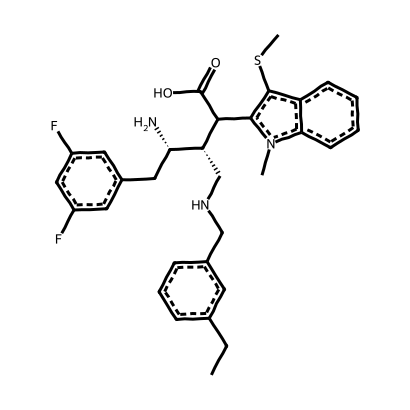 CCc1cccc(CNC[C@@H](C(C(=O)O)c2c(SC)c3ccccc3n2C)[C@@H](N)Cc2cc(F)cc(F)c2)c1